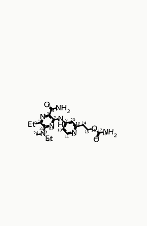 CCc1nc(C(N)=O)c(Nc2ccnc(CCOC(N)=O)c2)nc1N(C)CC